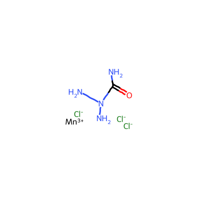 NC(=O)N(N)N.[Cl-].[Cl-].[Cl-].[Mn+3]